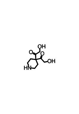 O=C(CO)C1(C(=O)CO)CCNCC1